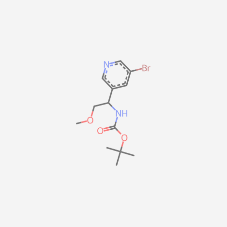 COCC(NC(=O)OC(C)(C)C)c1cncc(Br)c1